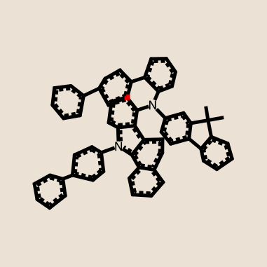 CC1(C)c2ccccc2-c2ccc(N(c3ccccc3-c3ccc(-c4ccccc4)cc3)c3cccc4c3c3ccc5ccccc5c3n4-c3ccc(-c4ccccc4)cc3)cc21